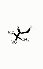 CCC(=O)C(C)(C)O